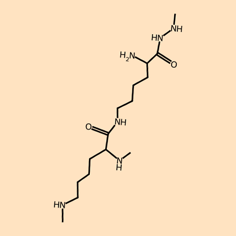 CNCCCCC(NC)C(=O)NCCCCC(N)C(=O)NNC